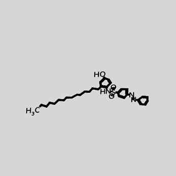 CCCCCCCCCCCCCCCc1cc(O)ccc1NS(=O)(=O)c1ccc(N=Nc2ccccc2)cc1